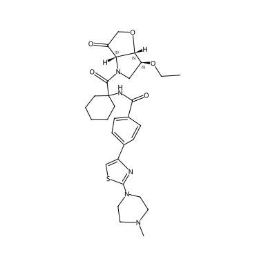 CCO[C@H]1CN(C(=O)C2(NC(=O)c3ccc(-c4csc(N5CCN(C)CC5)n4)cc3)CCCCC2)[C@@H]2C(=O)CO[C@H]12